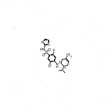 CN(C)[C@@H]1CC=C(C(F)(F)F)C[C@H]1Nc1cc(F)c(S(=O)(=O)Nc2nccs2)cc1Cl